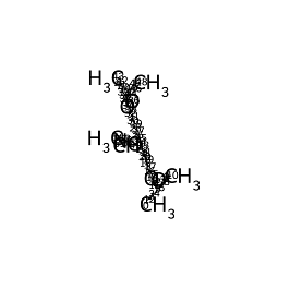 CCCCCC(CCCCC)CC(=O)OCCCCCCCCCC(CCCCCCCCCOC(=O)CC(CCCCC)CCCCC)OCCCN(C)C